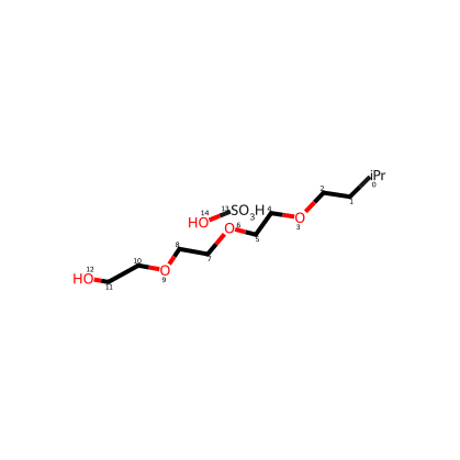 CC(C)CCOCCOCCOCCO.O=S(=O)(O)O